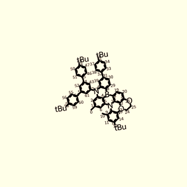 Cc1cc2c3c(c1)N(c1c(C)cc(C(C)(C)C)cc1C)c1c(ccc4c1OCCO4)B3c1ccc(-c3ccc(C(C)(C)C)cc3)cc1N2c1cc(-c2ccc(C(C)(C)C)cc2)cc(-c2ccc(C(C)(C)C)cc2)c1